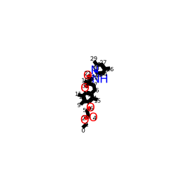 CCOC(=O)COc1c(C)c(C)c2c(c1C)CCC(C)(C(=O)Nc1cc(C)cc(C)n1)O2